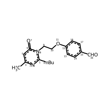 CCCCc1nc(C)cc(=O)n1CCOc1ccc(C=O)cc1